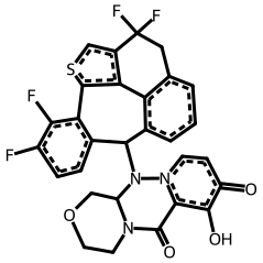 O=C1c2c(O)c(=O)ccn2N(C2c3cccc4c3-c3c(csc3-c3c2ccc(F)c3F)C(F)(F)C4)C2COCCN12